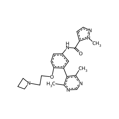 Cc1ncnc(C)c1-c1cc(NC(=O)c2ccnn2C)ccc1OCCN1CCC1